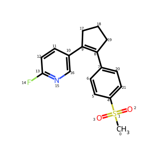 CS(=O)(=O)c1ccc(C2=C(c3ccc(F)nc3)CCC2)cc1